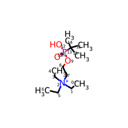 CC[N+](CC)(CC)CCOP(=O)(O)C(C)(C)C